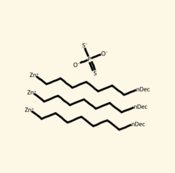 CCCCCCCCCCCCCCCC[CH2][Zn+].CCCCCCCCCCCCCCCC[CH2][Zn+].CCCCCCCCCCCCCCCC[CH2][Zn+].[O-]P([O-])(=S)[S-]